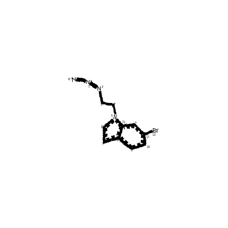 [N-]=[N+]=NCCn1ccc2ccc(Br)cc21